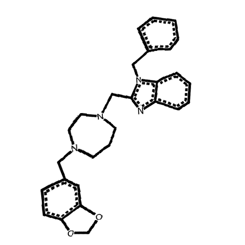 c1ccc(Cn2c(CN3CCCN(Cc4ccc5c(c4)OCO5)CC3)nc3ccccc32)cc1